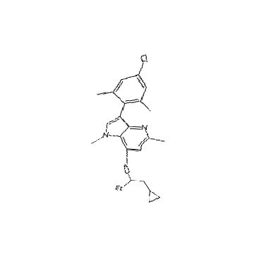 CCC(CC1CC1)Oc1cc(C)nc2c(-c3c(C)cc(Cl)cc3C)cn(C)c12